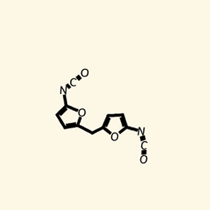 O=C=Nc1ccc(Cc2ccc(N=C=O)o2)o1